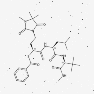 CNC(=O)[C@@H](NC(=O)[C@H](CC(C)C)NC(=O)[C@H](CCN1C(=O)N(C)C(C)(C)C1=O)SC(=O)c1ccccc1)C(C)(C)C